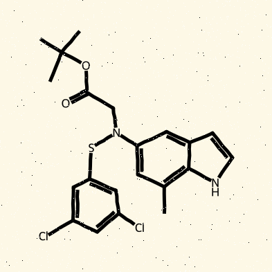 Cc1cc(N(CC(=O)OC(C)(C)C)Sc2cc(Cl)cc(Cl)c2)cc2cc[nH]c12